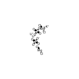 O=S(=O)([O-])[O-].O=S(=O)([O-])[O-].[Cl][Mg][Cl].[Cl][Mg][Cl].[K+].[K+].[Li+].[Li+]